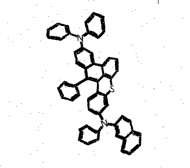 c1ccc(-c2c3c4c(cccc4c4cc(N(c5ccccc5)c5ccccc5)ccc24)Sc2cc(N(c4ccccc4)c4ccc5ccccc5c4)ccc2-3)cc1